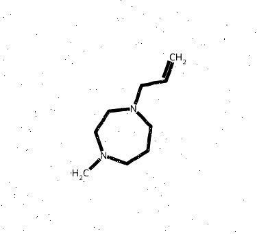 [CH2]N1CCCN(CC=C)CC1